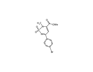 COC(=O)C1=CC(c2ccc(Br)cc2)=NS(=O)(=O)N1C